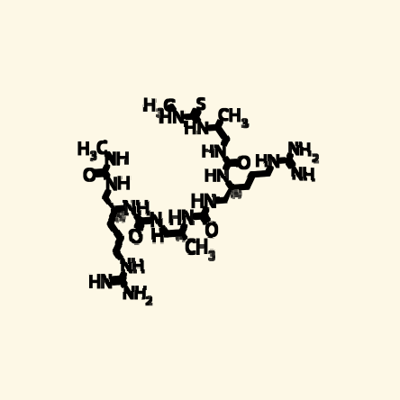 CNC(=O)NC[C@H](CCCNC(=N)N)NC(=O)NC[C@H](C)NC(=O)NC[C@H](CCCNC(=N)N)NC(=O)NCC(C)NC(=S)NC